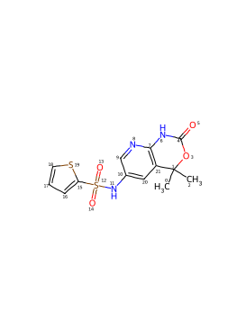 CC1(C)OC(=O)Nc2ncc(NS(=O)(=O)c3cccs3)cc21